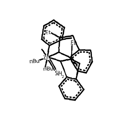 CCC[CH2][Zr]([CH3])(=[SiH2])([CH2]CCC)([c]1ccccc1)([CH]1C(CC)=Cc2ccccc21)[CH]1C(CC)=Cc2ccccc21